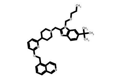 CCCOCn1c(CN2CCC(c3cccc(OCc4cccc5cnccc45)n3)CC2)nc2ccc(C(C)(C)C)cc21